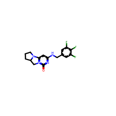 O=c1nc(NCc2cc(F)c(F)c(F)c2)cc2n1CC1CCCN21